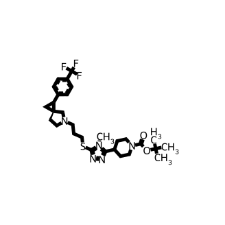 Cn1c(SCCCN2CC[C@]3(CC3c3ccc(C(F)(F)F)cc3)C2)nnc1C1CCN(C(=O)OC(C)(C)C)CC1